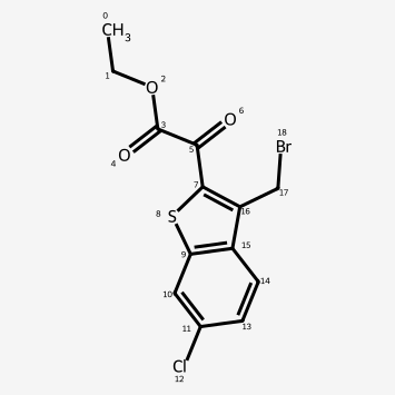 CCOC(=O)C(=O)c1sc2cc(Cl)ccc2c1CBr